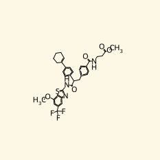 COC(=O)CCNC(=O)c1ccc(CC(C(=O)Nc2nc3cc(C(F)(F)F)cc(OC)c3s2)c2ccc(C3=CCCCC3)cc2)cc1